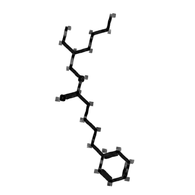 CCCCC(CC)COC(=O)CCCCc1ccccc1